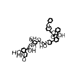 COc1cc(C(=O)NCC(=O)N2CC=C(c3cccc(C(O)(C(=O)OCC4CCN(Cc5ccccc5)CC4)c4ccccc4)c3)CC2)ccc1CNC[C@H](O)c1ccc(O)c2[nH]c(=O)ccc12